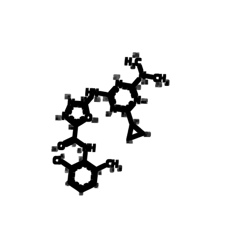 Cc1cccc(Cl)c1NC(=O)c1nnc(Nc2nc(C3CC3)nc(N(C)C)n2)o1